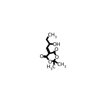 CCC(O)C=C1C(=O)OC(C)(C)OC1=O